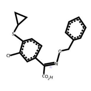 O=C(O)/C(=N/OCc1ccccc1)c1ccc(SC2CC2)c(Cl)c1